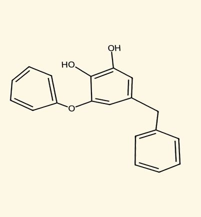 Oc1cc(Cc2ccccc2)cc(Oc2ccccc2)c1O